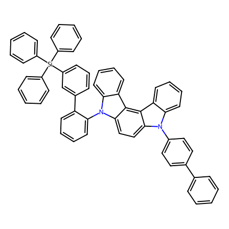 c1ccc(-c2ccc(-n3c4ccccc4c4c5c6ccccc6n(-c6ccccc6-c6cccc([Si](c7ccccc7)(c7ccccc7)c7ccccc7)c6)c5ccc43)cc2)cc1